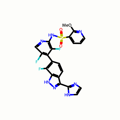 COc1ncccc1S(=O)(=O)Nc1ncc(F)c(-c2ccc3c(-c4ncc[nH]4)n[nH]c3c2F)c1F